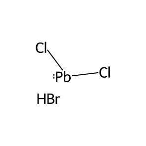 Br.[Cl][Pb][Cl]